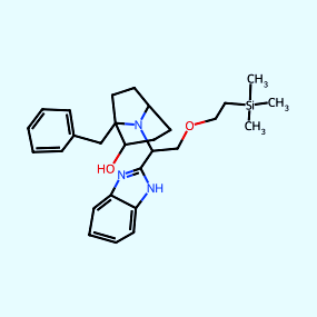 C[Si](C)(C)CCOCC(c1nc2ccccc2[nH]1)N1C2CCC(O)C1(Cc1ccccc1)CC2